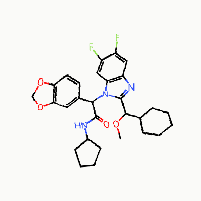 COC(c1nc2cc(F)c(F)cc2n1C(C(=O)NC1CCCC1)c1ccc2c(c1)OCO2)C1CCCCC1